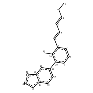 CC/C=C/C=C/c1cccc(-c2ccc3cnoc3c2)c1C